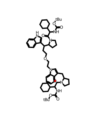 CC(C)(C)OC(=O)NC(C(=O)N1CCCC1Cc1cn(CCOCCC(c2c[nH]c3ccccc23)C2CCCN2C(=O)C(NC(=O)OC(C)(C)C)C2CCCCC2)c2ccccc12)C1CCCCC1